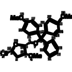 B[C@H]1C[C@@H](OC)[C@@H](COC(c2ccccc2)(c2ccc(OC)cc2)c2ccc(OC)cc2)O1